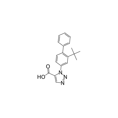 CC(C)(C)c1cc(-n2nncc2C(=O)O)ccc1-c1ccccc1